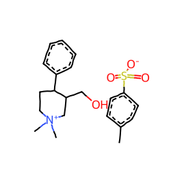 C[N+]1(C)CCC(c2ccccc2)C(CO)C1.Cc1ccc(S(=O)(=O)[O-])cc1